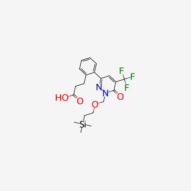 C[Si](C)(C)CCOCn1nc(-c2ccccc2CCC(=O)O)cc(C(F)(F)F)c1=O